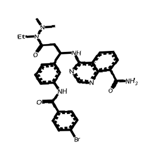 CCN(C(=O)CC(Nc1ncnc2c(C(N)=O)cccc12)c1cccc(NC(=O)c2ccc(Br)cc2)c1)N(C)C